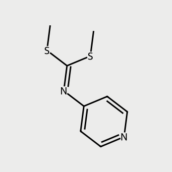 CSC(=Nc1ccncc1)SC